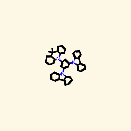 CC1(C)c2ccccc2N(c2cc(-n3c4ccccc4c4ccccc43)cc(-n3c4ccccc4c4ccccc43)c2)c2ccccc21